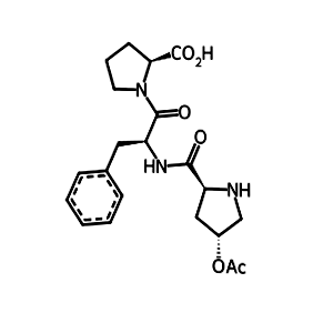 CC(=O)O[C@H]1CN[C@H](C(=O)N[C@@H](Cc2ccccc2)C(=O)N2CCC[C@H]2C(=O)O)C1